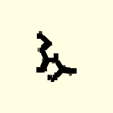 CCC=NC(=N)NC(=N)N